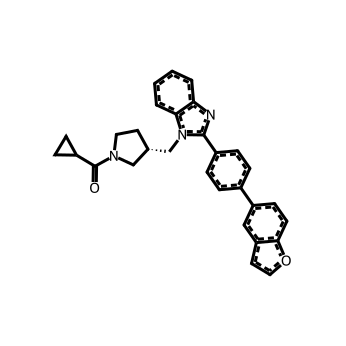 O=C(C1CC1)N1CC[C@H](Cn2c(-c3ccc(-c4ccc5occc5c4)cc3)nc3ccccc32)C1